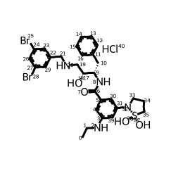 CCNc1cc(C(=O)N[C@@H](Cc2ccccc2)[C@H](O)CNCc2cc(Br)cc(Br)c2)cc(N2CCCS2(O)O)c1.Cl